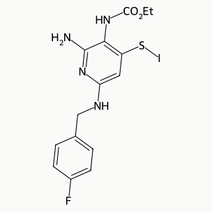 CCOC(=O)Nc1c(SI)cc(NCc2ccc(F)cc2)nc1N